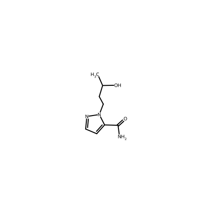 CC(O)CCn1nccc1C(N)=O